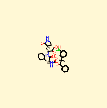 CC(C)(c1cccc(Cl)c1)C(OC(=O)N[C@@H](CC1CCCCC1)C(=O)N[C@@H](C[C@@H]1CCNC1=O)C(=O)CO)c1ccccc1